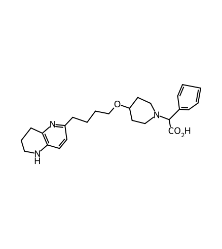 O=C(O)C(c1ccccc1)N1CCC(OCCCCc2ccc3c(n2)CCCN3)CC1